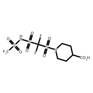 O=C(O)C1CCN(S(=O)(=O)C(F)(F)S(=O)(=O)NS(=O)(=O)C(F)(F)F)CC1